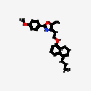 Cc1oc(-c2ccc(OC(F)(F)F)cc2)nc1CCOc1cccc2c1CCC=C2CCC(=O)O